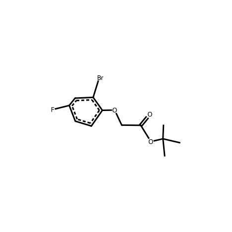 CC(C)(C)OC(=O)COc1ccc(F)cc1Br